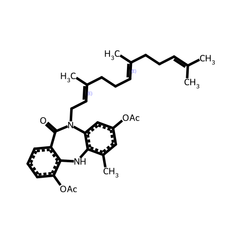 CC(=O)Oc1cc(C)c2c(c1)N(C/C=C(\C)CC/C=C(\C)CCC=C(C)C)C(=O)c1cccc(OC(C)=O)c1N2